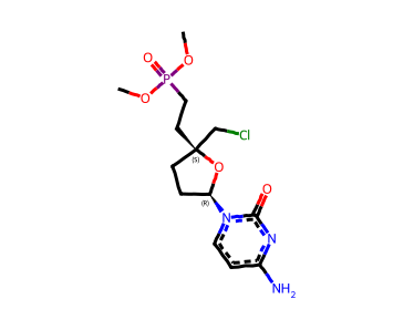 COP(=O)(CC[C@]1(CCl)CC[C@H](n2ccc(N)nc2=O)O1)OC